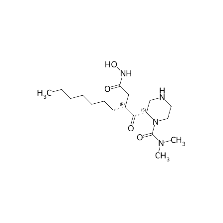 CCCCCCC[C@H](CC(=O)NO)C(=O)[C@@H]1CNCCN1C(=O)N(C)C